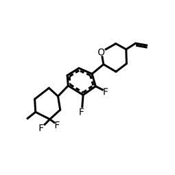 C=CC1CCC(c2ccc(C3CCC(C)C(F)(F)C3)c(F)c2F)OC1